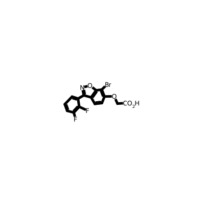 O=C(O)COc1ccc2c(-c3cccc(F)c3F)noc2c1Br